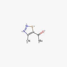 CC(C)(C)C(=O)c1snnc1C#N